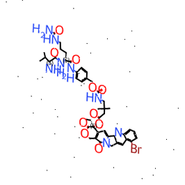 CC[C@@]1(OC(=O)CC(C)(C)CNC(=O)OCc2ccc(NC(=O)[C@H](CCCNC(N)=O)NC(=O)[C@@H](N)C(C)C)cc2)C(=O)OCc2c1cc1n(c2=O)Cc2cc3c(Br)cccc3nc2-1